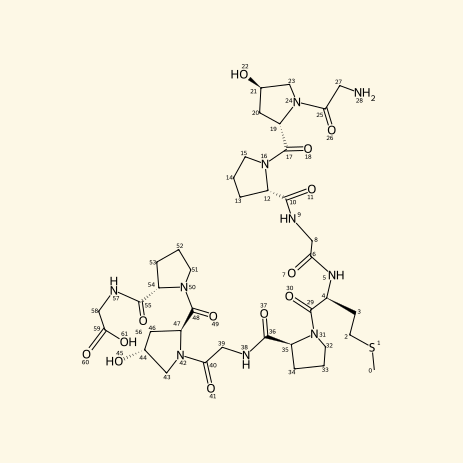 CSCC[C@H](NC(=O)CNC(=O)[C@@H]1CCCN1C(=O)[C@@H]1C[C@@H](O)CN1C(=O)CN)C(=O)N1CCC[C@H]1C(=O)NCC(=O)N1C[C@H](O)C[C@H]1C(=O)N1CCC[C@H]1C(=O)NCC(=O)O